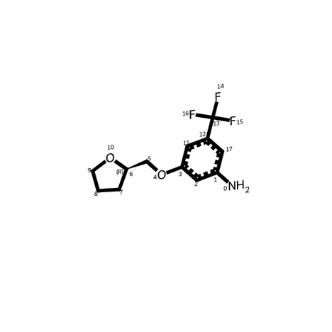 Nc1cc(OC[C@H]2CCCO2)cc(C(F)(F)F)c1